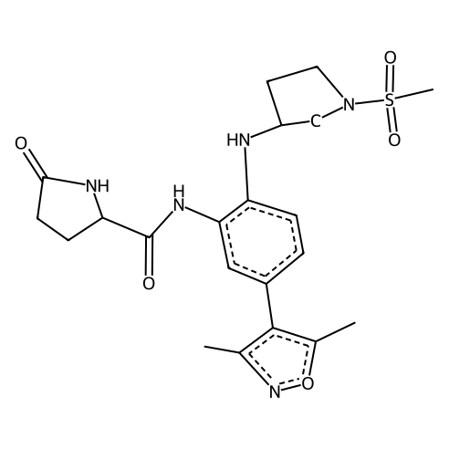 Cc1noc(C)c1-c1ccc(NC2CCN(S(C)(=O)=O)C2)c(NC(=O)C2CCC(=O)N2)c1